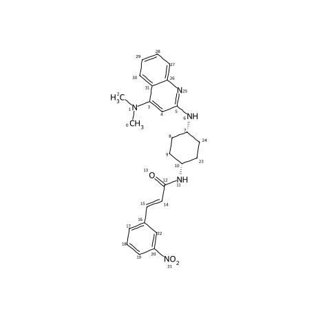 CN(C)c1cc(N[C@H]2CC[C@@H](NC(=O)C=Cc3cccc([N+](=O)[O-])c3)CC2)nc2ccccc12